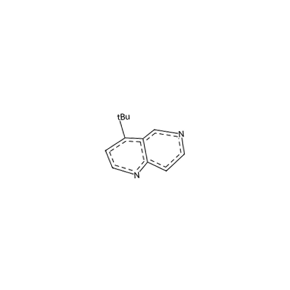 CC(C)(C)c1ccnc2ccncc12